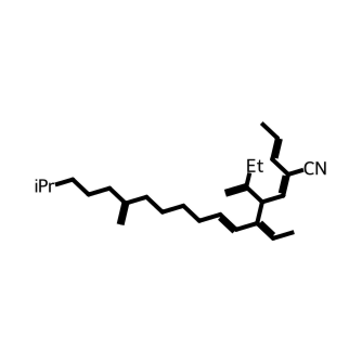 C=C(CCCC/C=C/C(=C/C)C(C=C(C#N)/C=C/C)C(=C)CC)CCCC(C)C